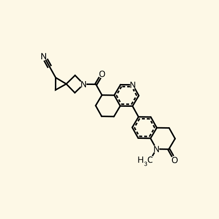 CN1C(=O)CCc2cc(-c3cncc4c3CCCC4C(=O)N3CC4(CC4C#N)C3)ccc21